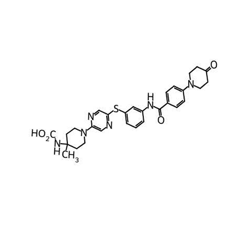 CC1(NC(=O)O)CCN(c2cnc(Sc3cccc(NC(=O)c4ccc(N5CCC(=O)CC5)cc4)c3)cn2)CC1